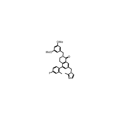 COc1cc(CN2CCc3c(cc(Cn4ccnc4C)cc3-c3ccc(F)cc3C)C2=O)cc(OC)c1